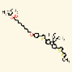 C=CC(C=C)OC(=O)CCCCCCCCCCOc1ccc(-c2ccc(-c3ccc4c(c3)C(CCC)(CCC)c3cc(-c5ccc(-c6ccc(C)s6)s5)ccc3-4)s2)cc1